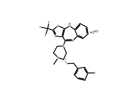 CN1CCN(C2=Nc3ccccc3Nc3sc(C(F)(F)F)nc32)C[C@@H]1CCc1cccc(F)c1.Cl.Cl